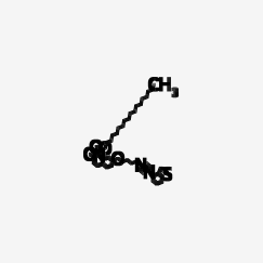 CCCCCCCCCCCCCCCCCOC(=O)n1c(=O)ccc2ccc(OCCCCN3CCN(c4cccc5sccc45)CC3)cc21